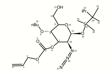 C=CCOC(=O)OC1[C@H](OCCCC)C(CO)O[C@@H](O[Si](C)(C)C(C)(C)C(C)C)[C@H]1N=[N+]=[N-]